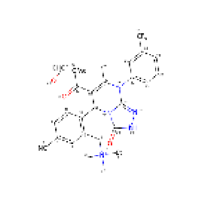 CC[N+](C)(C)Cc1cc(C#N)ccc1C1C(C(=O)OC)=C(C)N(c2cccc(C(F)(F)F)c2)c2n[nH]c(=O)n21.O=C[O-]